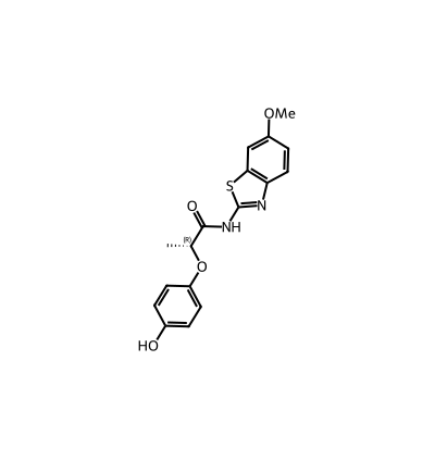 COc1ccc2nc(NC(=O)[C@@H](C)Oc3ccc(O)cc3)sc2c1